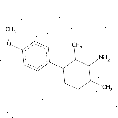 COc1ccc(C2CCC(C)C(N)C2C)cc1